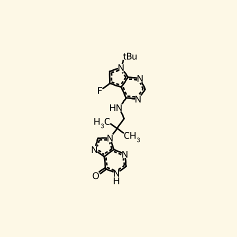 CC(C)(C)n1cc(F)c2c(NCC(C)(C)n3cnc4c(=O)[nH]cnc43)ncnc21